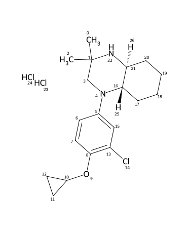 CC1(C)CN(c2ccc(OC3CC3)c(Cl)c2)[C@H]2CCCC[C@@H]2N1.Cl.Cl